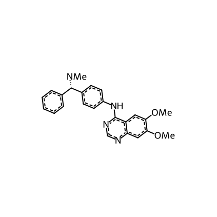 CN[C@@H](c1ccccc1)c1ccc(Nc2ncnc3cc(OC)c(OC)cc23)cc1